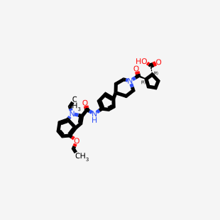 CCOc1cccc2c1cc(C(=O)Nc1ccc(C3CCN(C(=O)[C@@H]4CCC[C@H]4C(=O)O)CC3)cc1)n2CC